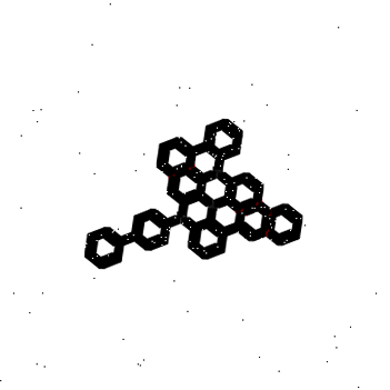 c1ccc(-c2ccc(N3c4cccc(-c5ccccc5)c4B4c5cc(-c6ccccc6)ccc5N(c5ccccc5-c5ccccc5)c5cccc3c54)cc2)cc1